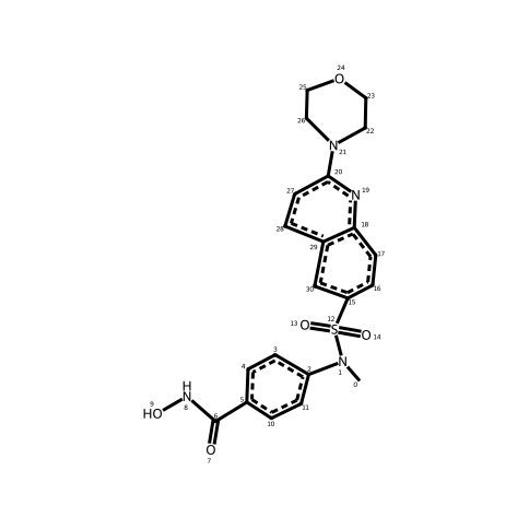 CN(c1ccc(C(=O)NO)cc1)S(=O)(=O)c1ccc2nc(N3CCOCC3)ccc2c1